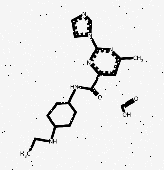 CCNC1CCC(NC(=O)c2cc(C)nc(-n3ccnc3)n2)CC1.O=CO